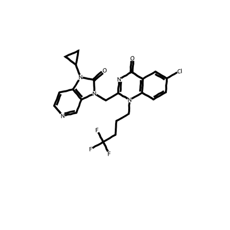 O=c1nc(Cn2c(=O)n(C3CC3)c3ccncc32)n(CCCC(F)(F)F)c2ccc(Cl)cc12